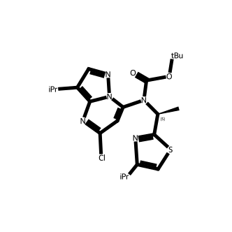 CC(C)c1csc([C@H](C)N(C(=O)OC(C)(C)C)c2cc(Cl)nc3c(C(C)C)cnn23)n1